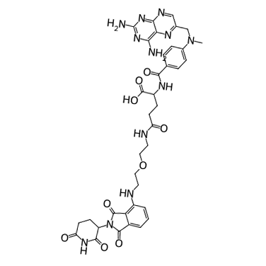 CN(Cc1cnc2nc(N)nc(N)c2n1)c1ccc(C(=O)NC(CCC(=O)NCCOCCNc2cccc3c2C(=O)N(C2CCC(=O)NC2=O)C3=O)C(=O)O)cc1